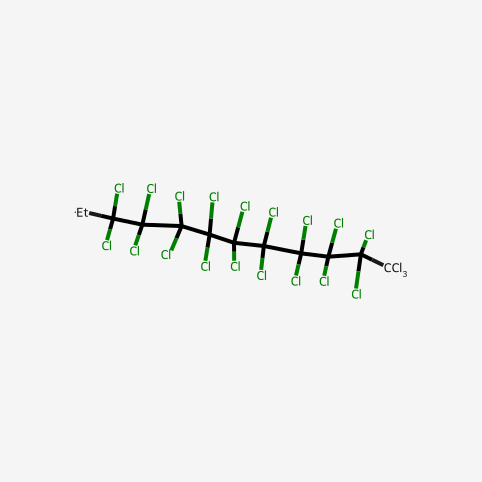 C[CH]C(Cl)(Cl)C(Cl)(Cl)C(Cl)(Cl)C(Cl)(Cl)C(Cl)(Cl)C(Cl)(Cl)C(Cl)(Cl)C(Cl)(Cl)C(Cl)(Cl)C(Cl)(Cl)Cl